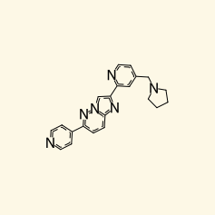 c1cc(-c2ccc3nc(-c4cc(CN5CCCC5)ccn4)cn3n2)ccn1